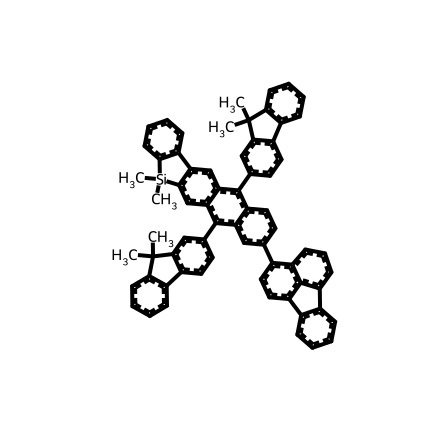 CC1(C)c2ccccc2-c2ccc(-c3c4ccc(-c5ccc6c7c(cccc57)-c5ccccc5-6)cc4c(-c4ccc5c(c4)C(C)(C)c4ccccc4-5)c4cc5c(cc34)-c3ccccc3[Si]5(C)C)cc21